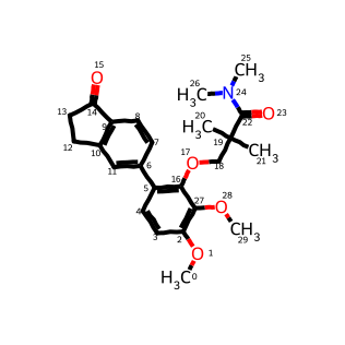 COc1ccc(-c2ccc3c(c2)CCC3=O)c(OCC(C)(C)C(=O)N(C)C)c1OC